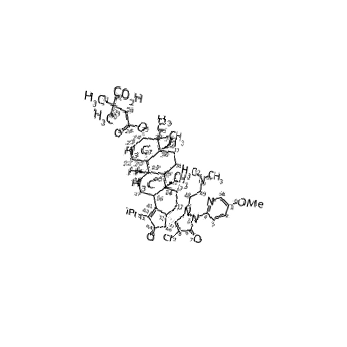 COc1ccc(-n2c(=O)c(Cl)c([C@@]34CC[C@]5(C)C(CC[C@@H]6[C@@]7(C)CC[C@H](OC(=O)CC(C)(C)C(=O)O)C(C)(C)[C@@H]7CC[C@]65C)C3=C(C(C)C)C(=O)C4)n2CCN(C)C)nc1